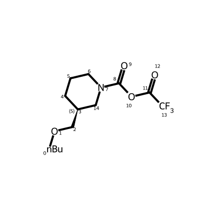 CCCCOC[C@H]1CCCN(C(=O)OC(=O)C(F)(F)F)C1